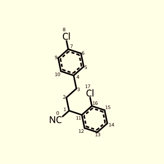 N#CC(CCc1ccc(Cl)cc1)c1ccccc1Cl